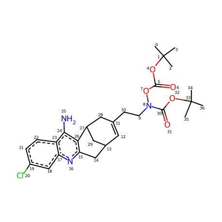 CC(C)(C)OC(=O)ON(CCC1=CC2Cc3nc4cc(Cl)ccc4c(N)c3C(C1)C2)C(=O)OC(C)(C)C